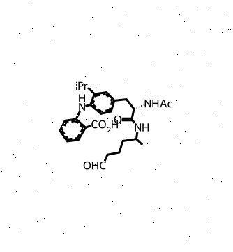 CC(=O)N[C@@H](Cc1ccc(Nc2ccccc2C(=O)O)c(C(C)C)c1)C(=O)NC(C)CCCC=O